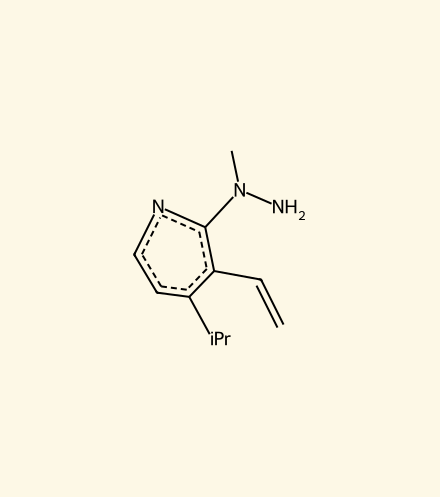 C=Cc1c(C(C)C)ccnc1N(C)N